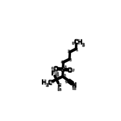 CCCCCS(=O)(=O)C(C#N)C(C)(F)F